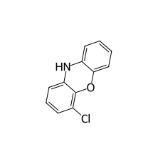 Clc1cccc2c1Oc1ccccc1N2